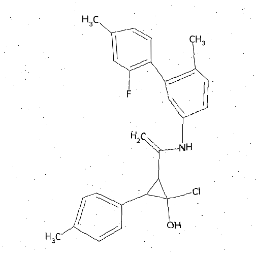 C=C(Nc1ccc(C)c(-c2ccc(C)cc2F)c1)C1C(c2ccc(C)cc2)C1(O)Cl